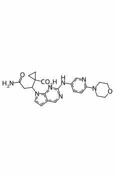 NC(=O)CC(n1ccc2cnc(Nc3ccc(N4CCOCC4)nc3)nc21)C1(C(=O)O)CC1